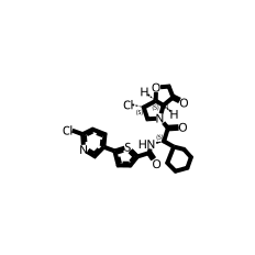 O=C(N[C@H](C(=O)N1C[C@H](Cl)[C@H]2OCC(=O)[C@H]21)C1CCCCC1)c1ccc(-c2ccc(Cl)nc2)s1